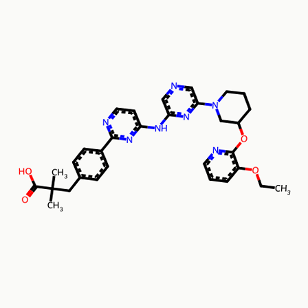 CCOc1cccnc1OC1CCCN(c2cncc(Nc3ccnc(-c4ccc(CC(C)(C)C(=O)O)cc4)n3)n2)C1